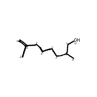 C=C(C)CCCCC(C)CO